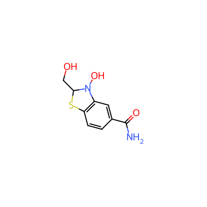 NC(=O)c1ccc2c(c1)N(O)C(CO)S2